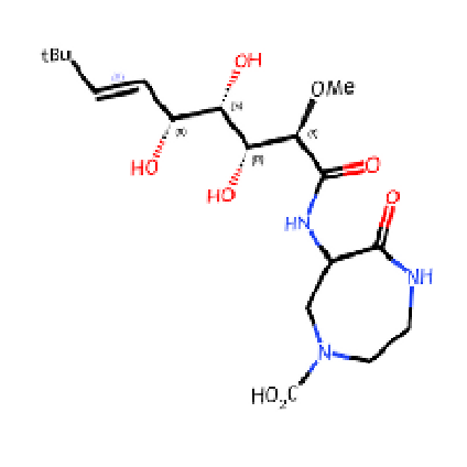 CO[C@@H](C(=O)NC1CN(C(=O)O)CCNC1=O)[C@H](O)[C@@H](O)[C@H](O)/C=C/C(C)(C)C